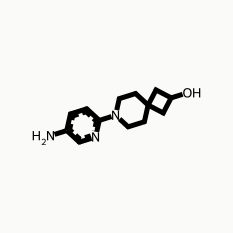 Nc1ccc(N2CCC3(CC2)CC(O)C3)nc1